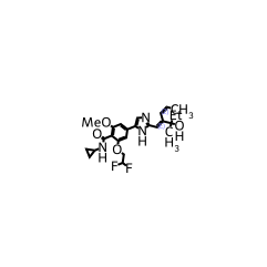 C/C=C\C(=C/c1ncc(-c2cc(OC)c(C(=O)NC3CC3)c(OCC(F)F)c2)[nH]1)C(C)(O)CC